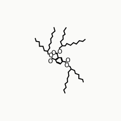 CCCCCCCCC(CCCCCC)COC(=O)c1ccc(C(=O)OCC(CCCCCC)CCCCCCCC)c(C(=O)OCC(CCCCCC)CCCCCCCC)c1